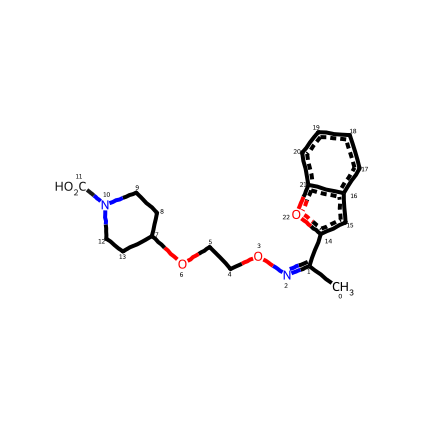 C/C(=N/OCCOC1CCN(C(=O)O)CC1)c1cc2ccccc2o1